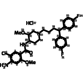 COc1cc(N)c(Cl)cc1C(=O)N[C@@H]1CCN(CCCC(c2ccc(F)cc2)c2ccc(F)cc2)C[C@@H]1OC.Cl